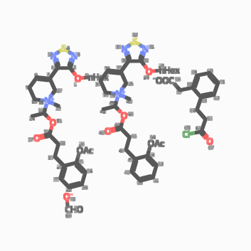 CCCCCCOc1nsnc1C1=CCC[N+](C)(C(C)OC(=O)CCc2ccccc2OC(C)=O)C1.CCCCCCOc1nsnc1C1=CCC[N+](C)(C(C)OC(=O)CCc2ccccc2OC(C)=O)C1.O=C([O-])Cc1ccccc1CCC(=O)Cl.O=C[O-]